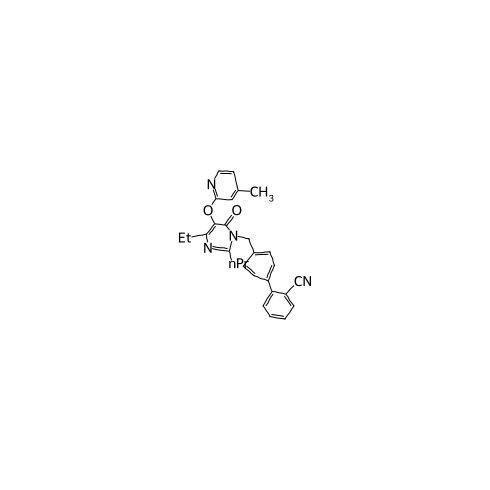 CCCc1nc(CC)c(Oc2cc(C)ccn2)c(=O)n1Cc1ccc(-c2ccccc2C#N)cc1